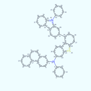 c1ccc(N(c2ccc3c(ccc4ccccc43)c2)c2ccc3c(c2)sc2cccc(-c4ccc5c6ccccc6n(-c6ccccc6)c5c4)c23)cc1